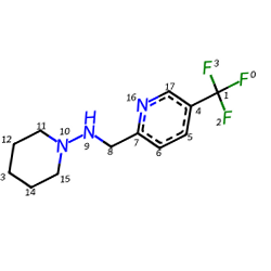 FC(F)(F)c1ccc(CNN2CCCCC2)nc1